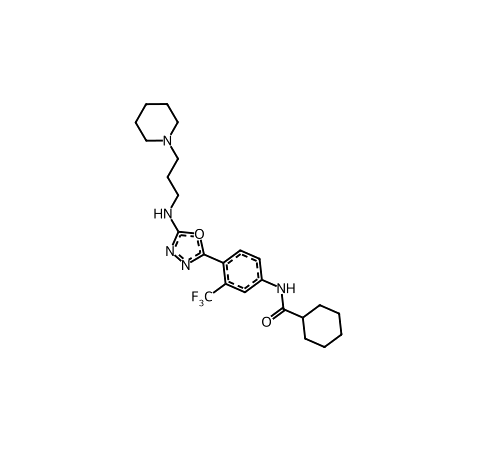 O=C(Nc1ccc(-c2nnc(NCCCN3CCCCC3)o2)c(C(F)(F)F)c1)C1CCCCC1